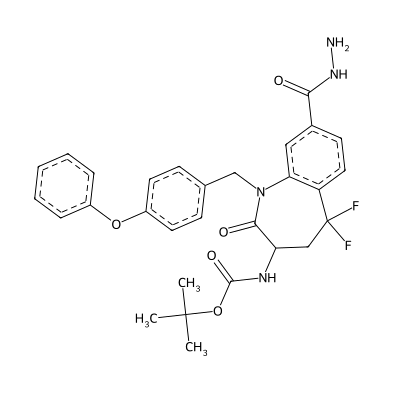 CC(C)(C)OC(=O)NC1CC(F)(F)c2ccc(C(=O)NN)cc2N(Cc2ccc(Oc3ccccc3)cc2)C1=O